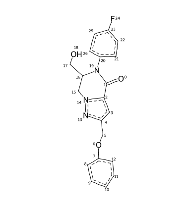 O=C1c2cc(COc3ccccc3)nn2CC(CO)N1c1ccc(F)cc1